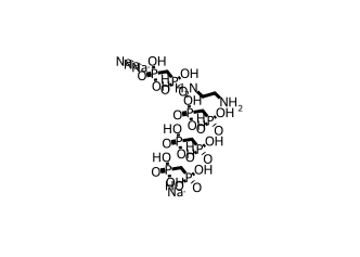 NCCN.O=P(O)(O)CP(=O)(O)O.O=P(O)(O)CP(=O)(O)O.O=P(O)(O)CP(=O)(O)O.O=P(O)(O)CP(=O)(O)O.[Na].[Na].[Na].[Na]